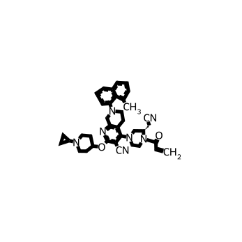 C=CC(=O)N1CCN(c2c(C#N)c(OC3CCN(C4CC4)CC3)nc3c2CCN(c2cccc4cccc(C)c24)C3)C[C@@H]1CC#N